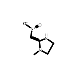 CN1CCN/C1=C\[N+](=O)[O-]